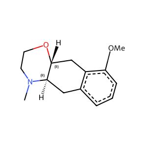 COc1cccc2c1C[C@H]1OCCN(C)[C@@H]1C2